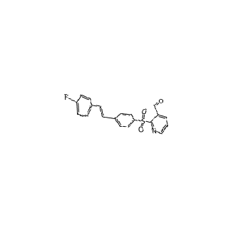 O=Cc1cccnc1S(=O)(=O)c1ccc(C=Cc2ccc(F)cc2)cc1